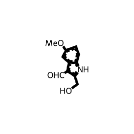 COc1ccc2[nH]c(CO)c(C=O)c2c1